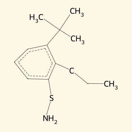 CCCc1c(SN)cccc1C(C)(C)C